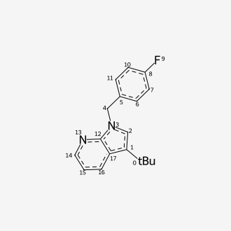 CC(C)(C)c1cn(Cc2ccc(F)cc2)c2ncccc12